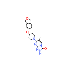 Cc1cn2c(=O)[nH]nc2nc1N1CCC(Oc2ccc3c(c2)COC3)CC1